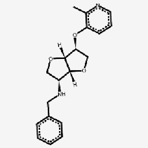 Cc1ncccc1O[C@H]1CO[C@H]2[C@@H]1OC[C@@H]2NCc1ccccc1